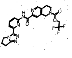 O=C(Nc1cccc(-c2nnc3n2CCC3)n1)c1cc2c(cn1)CCN(C(=O)OCC(F)(F)F)C2